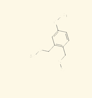 CCCOc1ccc(CSC(C)=O)c(CSC(C)=O)c1